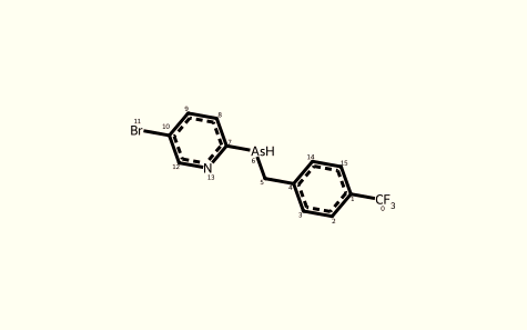 FC(F)(F)c1ccc(C[AsH]c2ccc(Br)cn2)cc1